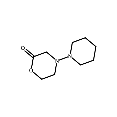 O=C1CN(N2CCCCC2)CCO1